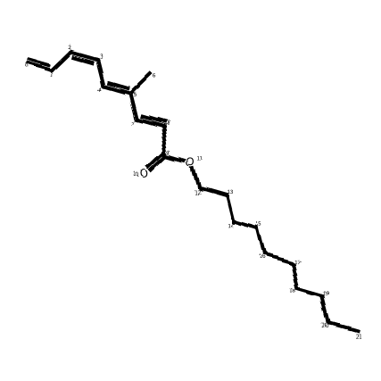 C=C\C=C/C=C(C)/C=C/C(=O)OCCCCCCCCCC